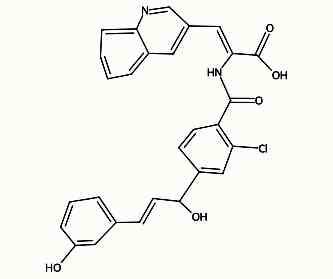 O=C(O)C(=Cc1cnc2ccccc2c1)NC(=O)c1ccc(C(O)C=Cc2cccc(O)c2)cc1Cl